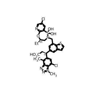 CC[C@@H]1CN(Cc2cc([C@H](CC(=O)O)c3cc(Cl)c4c(nnn4C)c3C)cc3ccsc23)S(O)(O)c2cc(Cl)cnc2O1